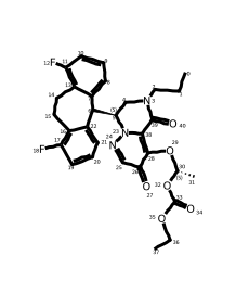 CCCN1C[C@H](C2c3cccc(F)c3CCc3c(F)cccc32)n2ncc(=O)c(O[C@H](C)OC(=O)OCC)c2C1=O